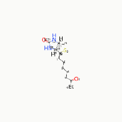 CCC(=O)CCCCC[C@@H]1SC[C@@H]2NC(=O)N[C@@H]21